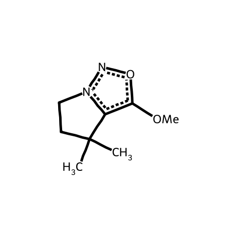 COc1on[n+]2c1C(C)(C)CC2